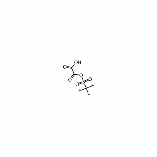 O=C(O)C(=O)OS(=O)(=O)C(F)(F)F